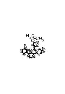 CC(C)Oc1cc(CNc2c(-c3cc(F)ccc3F)ncnc2C2CCC(F)(F)CO2)on1